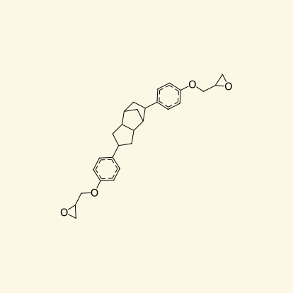 c1cc(C2CC3C4CC(c5ccc(OCC6CO6)cc5)C(C4)C3C2)ccc1OCC1CO1